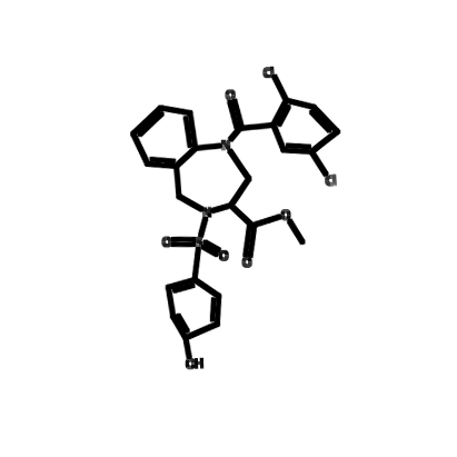 COC(=O)C1CN(C(=O)c2cc(Cl)ccc2Cl)c2ccccc2CN1S(=O)(=O)c1ccc(O)cc1